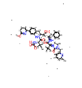 COc1cccc(-c2ccc(C[C@H](NC(=O)[C@@H](NC(=O)O)C(C)(C)C)[C@H](O)C[C@H](Cc3ccccc3)NC(=O)[C@@H](N3CCN(Cc4cccc(C)n4)C3=O)C(C)(C)C)cc2)n1